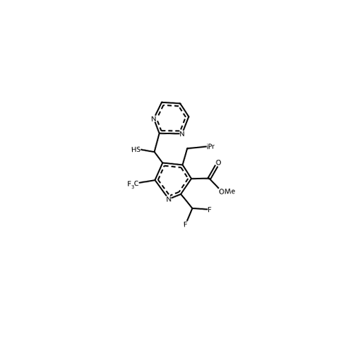 COC(=O)c1c(C(F)F)nc(C(F)(F)F)c(C(S)c2ncccn2)c1CC(C)C